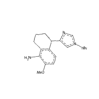 CCCn1cnc(C2CCCc3c2ccc(OC)c3N)c1